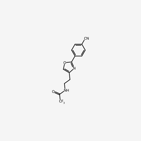 N#Cc1ccc(-c2nc(CCNC(=O)C(F)(F)F)co2)cc1